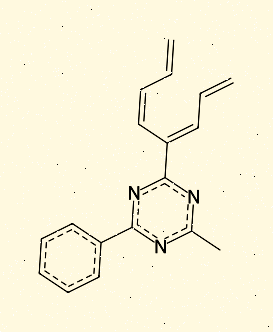 C=C/C=C\C(=C/C=C)c1nc(C)nc(-c2ccccc2)n1